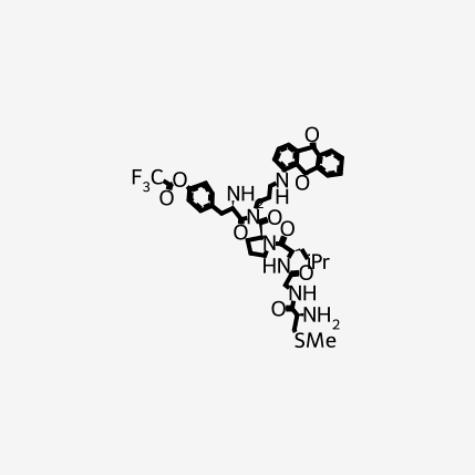 CSC[C@H](N)C(=O)NCC(=O)N[C@@H](CC(C)C)C(=O)N1CCC[C@H]1C(=O)N(CCCNc1cccc2c1C(=O)c1ccccc1C2=O)C(=O)[C@@H](N)Cc1ccc(OC(=O)C(F)(F)F)cc1